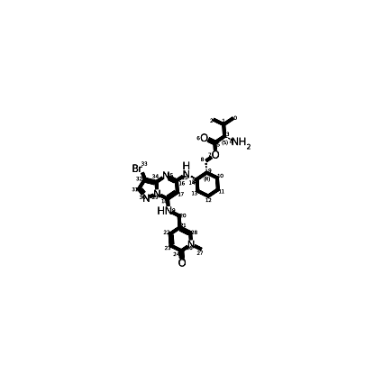 CC(C)[C@H](N)C(=O)OC[C@@H]1CCCC[C@@H]1Nc1cc(NCc2ccc(=O)n(C)c2)n2ncc(Br)c2n1